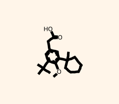 COc1c(C(C)(C)C)cc(CC(=O)O)cc1C1(C)CCCCC1